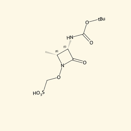 C[C@@H]1[C@H](NC(=O)OC(C)(C)C)C(=O)N1OCS(=O)(=O)O